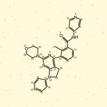 Cc1c(C(=O)Nc2ccncc2)cccc1-c1nc(N2CCOCC2)nc2c1CCN2c1ccncc1